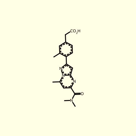 Cc1cc(CC(=O)O)ccc1-c1cc2nc(C(=O)N(C)C)cc(C)n2n1